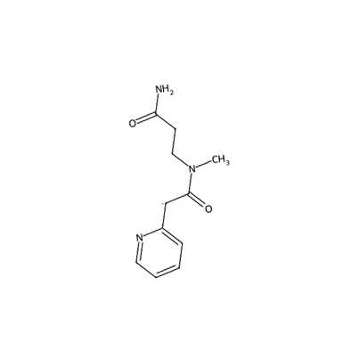 CN(CCC(N)=O)C(=O)[CH]c1ccccn1